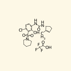 CC1=CCC[C@H]1NC(=O)Nc1ccc(Cl)c(S(=O)(=O)N2CCCCC2)c1O.O=C(O)C(F)(F)F